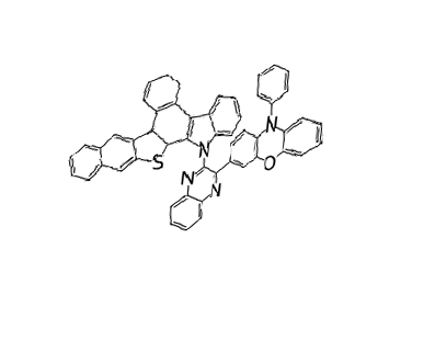 C1=CC2=C(CC1)c1c(n(-c3nc4ccccc4nc3-c3ccc4c(c3)Oc3ccccc3N4c3ccccc3)c3ccccc13)C1Sc3cc4ccccc4cc3C21